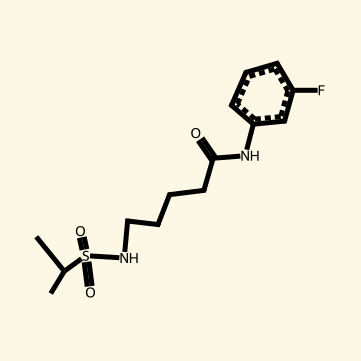 CC(C)S(=O)(=O)NCCCCC(=O)Nc1cccc(F)c1